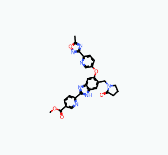 COC(=O)c1ccc(-c2nc3cc(Oc4ccc(-c5noc(C)n5)nc4)c(CN4CCCC4=O)cc3[nH]2)nc1